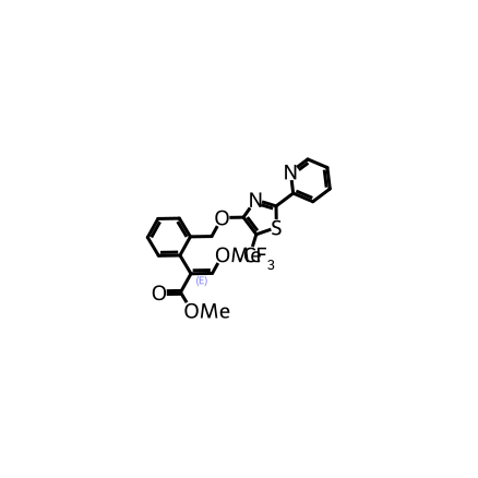 CO/C=C(/C(=O)OC)c1ccccc1COc1nc(-c2ccccn2)sc1C(F)(F)F